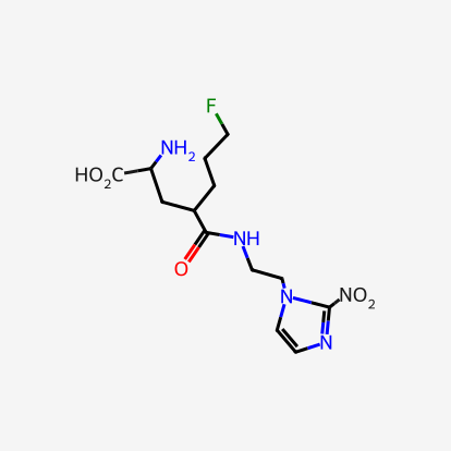 NC(CC(CCCF)C(=O)NCCn1ccnc1[N+](=O)[O-])C(=O)O